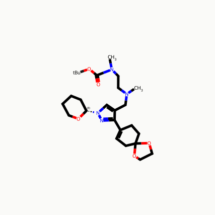 CN(CCN(C)C(=O)OC(C)(C)C)Cc1cn([C@H]2CCCCO2)nc1C1=CCC2(CC1)OCCO2